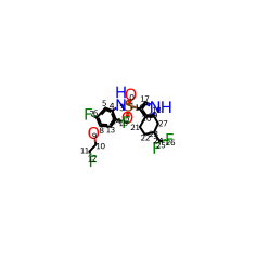 O=S(=O)(Nc1cc(F)c(OCCF)cc1F)c1c[nH]c2c1CCC(C(F)F)C2